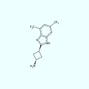 N[C@H]1C[C@@H](c2nc3c(C(F)(F)F)cc(C(F)(F)F)cc3[nH]2)C1